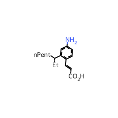 CCCCCC(CC)c1cc(N)ccc1/C=C/C(=O)O